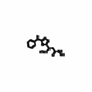 CCCCC[C@H](CC(=O)NO)c1nnc(Nc2ccccc2)o1